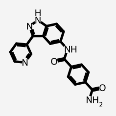 NC(=O)c1ccc(C(=O)Nc2ccc3[nH]nc(-c4cccnc4)c3c2)cc1